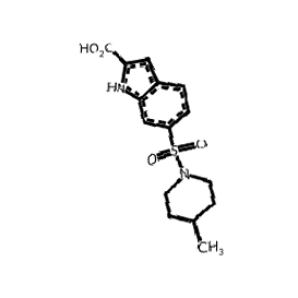 CC1CCN(S(=O)(=O)c2ccc3cc(C(=O)O)[nH]c3c2)CC1